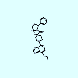 CCOc1cnc(N2CCC3(CC2)O[C@@H]2CC[C@@H](c4ccccc4)N2C3=O)n2ncnc12